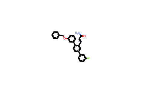 NC(=O)/C=C/c1cc(-c2cccc(F)c2)ccc1-c1cccc(OCc2ccccc2)c1